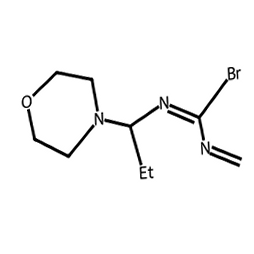 C=N/C(Br)=N\C(CC)N1CCOCC1